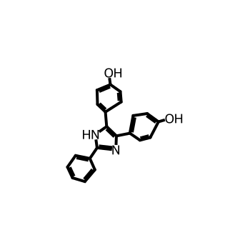 Oc1ccc(-c2nc(-c3ccccc3)[nH]c2-c2ccc(O)cc2)cc1